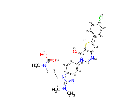 CN(CCCn1c(N(C)C)nc2cc(-n3cnc4cc(-c5ccc(Cl)cc5)sc4c3=O)ccc21)C(=O)O